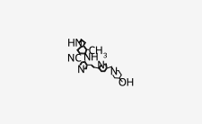 Cc1c(Nc2c(C#N)cncc2/C=C/c2ccc(CN3CCC(O)CC3)cn2)ccc2[nH]ccc12